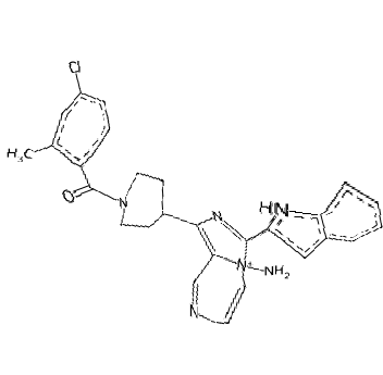 Cc1cc(Cl)ccc1C(=O)N1CCC(C2=C3C=NC=C[N+]3(N)C(c3cc4ccccc4[nH]3)=N2)CC1